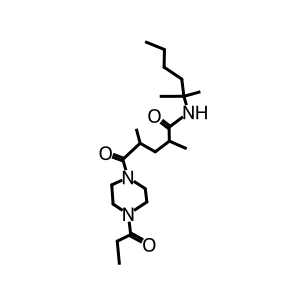 CCCCC(C)(C)NC(=O)C(C)CC(C)C(=O)N1CCN(C(=O)CC)CC1